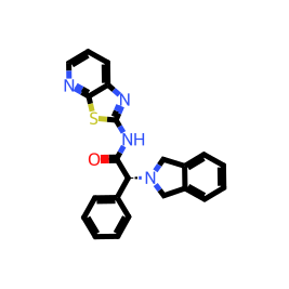 O=C(Nc1nc2cccnc2s1)[C@@H](c1ccccc1)N1Cc2ccccc2C1